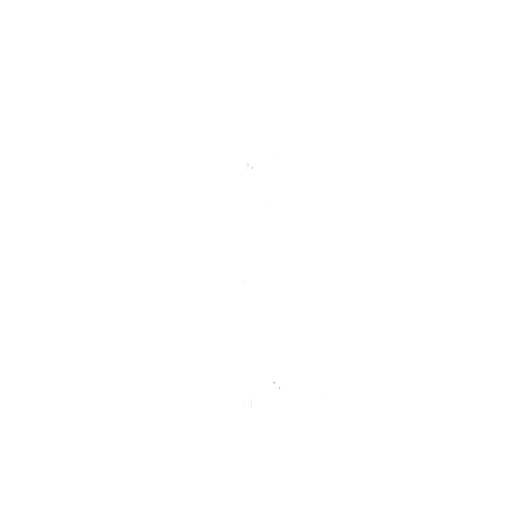 Cn1c2ccccc2c2cc(-c3ccc(-c4ccc(N(c5ccccc5)c5ccccc5)cc4)cc3)ccc21